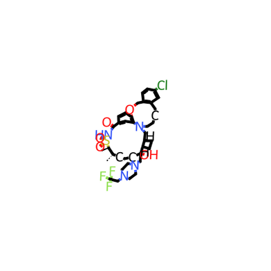 C[C@@H]1[C@@H](C)CCCC(O)(CN2CCN(CC(F)(F)F)CC2)[C@@H]2CC[C@H]2CN2CCCCc3cc(Cl)ccc3COc3ccc(cc32)C(=O)NS1(=O)=O